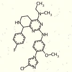 CCN(C)c1nc(Nc2ccc(-n3cnc(Cl)c3)c(OC)c2)nc2c1CCNC2c1ccc(F)cc1